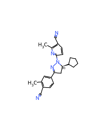 Cc1cc(C2=NN(c3ccc(C#N)c(C)n3)[C@@H](C3CCCC3)C2)ccc1C#N